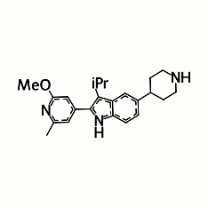 COc1cc(-c2[nH]c3ccc(C4CCNCC4)cc3c2C(C)C)cc(C)n1